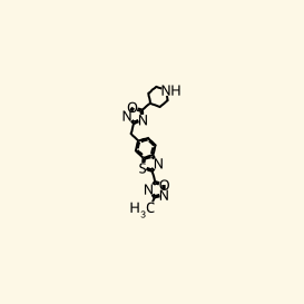 Cc1noc(-c2nc3ccc(Cc4noc(C5CCNCC5)n4)cc3s2)n1